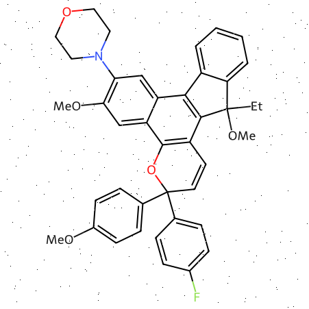 CCC1(OC)c2ccccc2-c2c1c1c(c3cc(OC)c(N4CCOCC4)cc23)OC(c2ccc(F)cc2)(c2ccc(OC)cc2)C=C1